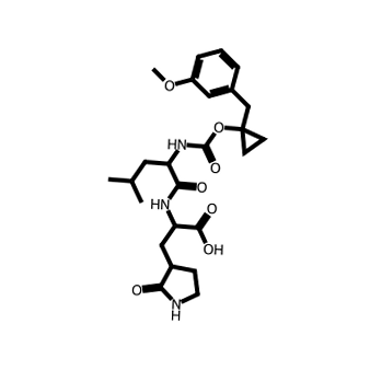 COc1cccc(CC2(OC(=O)NC(CC(C)C)C(=O)NC(CC3CCNC3=O)C(=O)O)CC2)c1